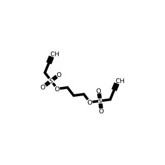 C#CCS(=O)(=O)OCCCOS(=O)(=O)CC#C